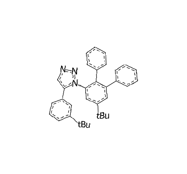 CC(C)(C)c1cccc(-c2cnnn2-c2cc(C(C)(C)C)cc(-c3ccccc3)c2-c2ccccc2)c1